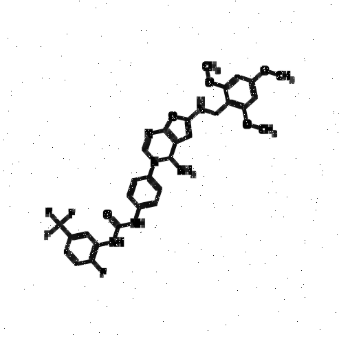 COc1cc(OC)c(CNc2cc3c(o2)N=CN(c2ccc(NC(=O)Nc4cc(C(F)(F)F)ccc4F)cc2)C3N)c(OC)c1